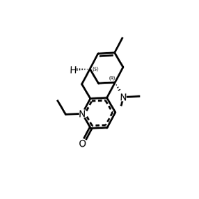 CCn1c2c(ccc1=O)[C@]1(N(C)C)CC(C)=C[C@H](C2)C1